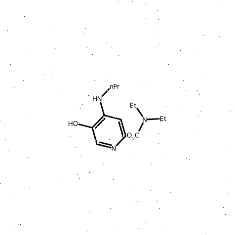 CCCNc1ccncc1O.CCN(CC)C(=O)O